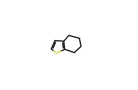 [CH]1CCc2sccc2C1